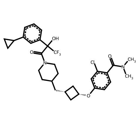 CN(C)C(=O)c1ccc(O[C@H]2C[C@@H](CC3CCN(C(=O)C(O)(c4cccc(C5CC5)c4)C(F)(F)F)CC3)C2)cc1Cl